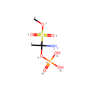 COS(=O)(=O)C(C)(N)OP(=O)(O)O